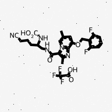 Cc1cc(OCc2c(F)cccc2F)c2nc(C)c(C(=O)NCC(CCCC#N)NC(=O)O)n2c1.O=C(O)C(F)(F)F